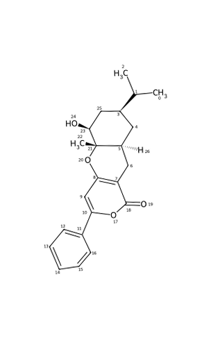 CC(C)[C@H]1C[C@H]2Cc3c(cc(-c4ccccc4)oc3=O)O[C@]2(C)[C@@H](O)C1